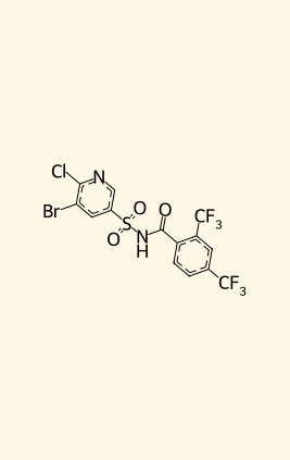 O=C(NS(=O)(=O)c1cnc(Cl)c(Br)c1)c1ccc(C(F)(F)F)cc1C(F)(F)F